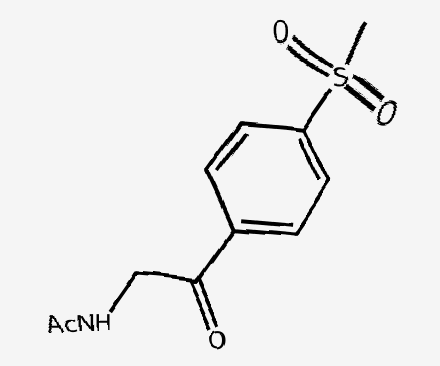 CC(=O)NCC(=O)c1ccc(S(C)(=O)=O)cc1